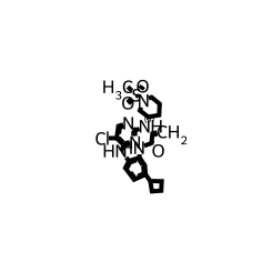 C=CC(=O)Nc1cc(C2CCC2)ccc1Nc1nc(N[C@H]2CCCN(S(C)(=O)=O)C2)ncc1Cl